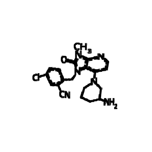 Cn1c(=O)n(Cc2ccc(Cl)cc2C#N)c2c(N3CCCC(N)C3)ccnc21